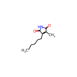 CCCCCCC1=C(C)C(=O)NC1=O